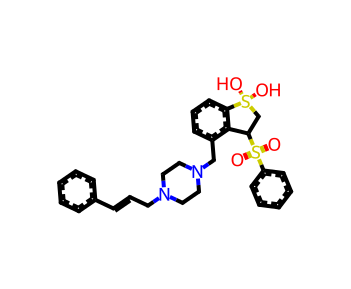 O=S(=O)(c1ccccc1)C1CS(O)(O)c2cccc(CN3CCN(CC=Cc4ccccc4)CC3)c21